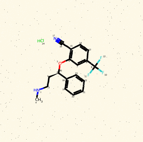 CNCC[C@@H](Oc1cc(C(F)(F)F)ccc1C#N)c1ccccc1.Cl